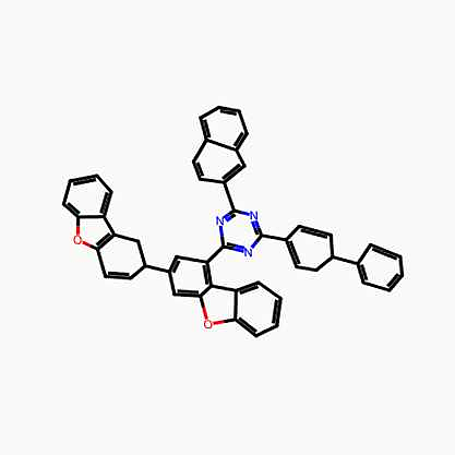 C1=CC(c2ccccc2)CC=C1c1nc(-c2ccc3ccccc3c2)nc(-c2cc(C3C=Cc4oc5ccccc5c4C3)cc3oc4ccccc4c23)n1